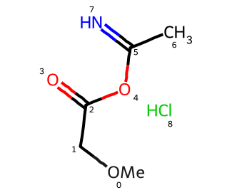 COCC(=O)OC(C)=N.Cl